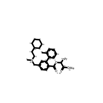 CCCC(OC(=O)c1ccc(CN(C)CCC2CCCCC2)cc1-c1ccccc1C)C(=S)OC